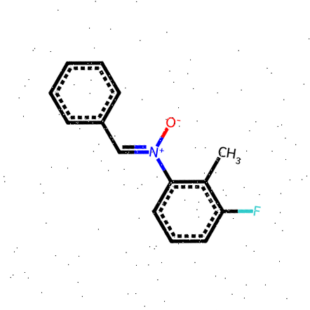 Cc1c(F)cccc1[N+]([O-])=Cc1ccccc1